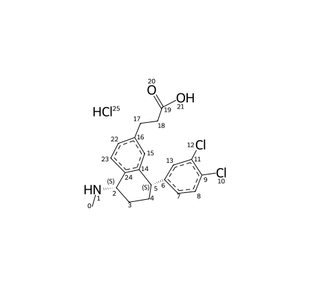 CN[C@H]1CC[C@@H](c2ccc(Cl)c(Cl)c2)c2cc(CCC(=O)O)ccc21.Cl